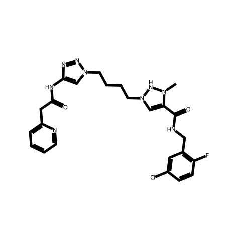 CN1NN(CCCCn2cc(NC(=O)Cc3ccccn3)nn2)C=C1C(=O)NCc1cc(Cl)ccc1F